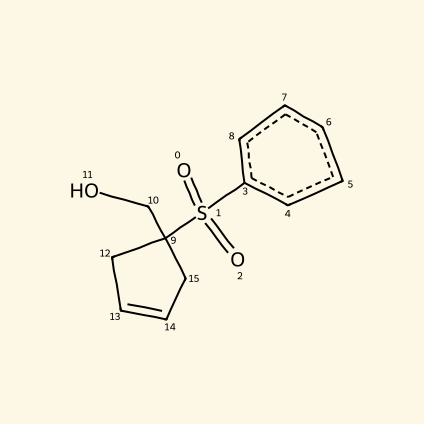 O=S(=O)(c1ccccc1)C1(CO)CC=CC1